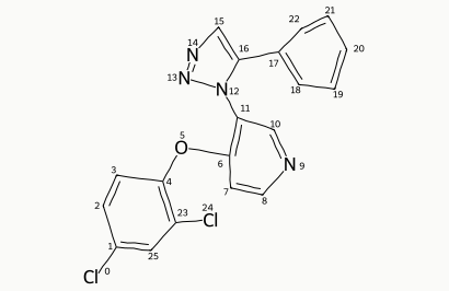 Clc1ccc(Oc2ccncc2-n2nncc2-c2ccccc2)c(Cl)c1